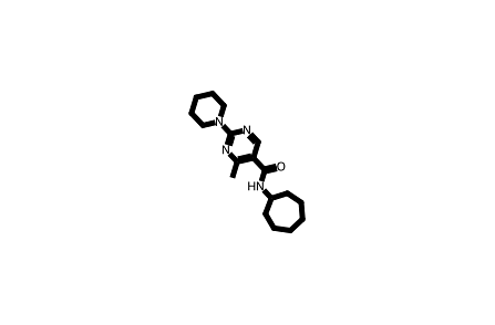 Cc1nc(N2CCCCC2)ncc1C(=O)NC1CCCCCC1